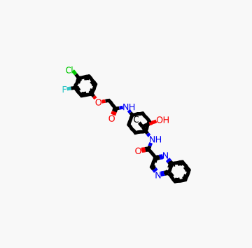 O=C(COc1ccc(Cl)c(F)c1)NC12CCC(NC(=O)c3cnc4ccccc4n3)(CC1)C(O)C2